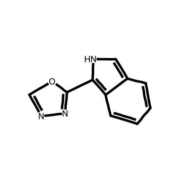 c1ccc2c(-c3nnco3)[nH]cc2c1